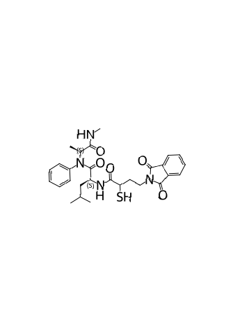 CNC(=O)[C@H](C)N(C(=O)[C@H](CC(C)C)NC(=O)C(S)CCN1C(=O)c2ccccc2C1=O)c1ccccc1